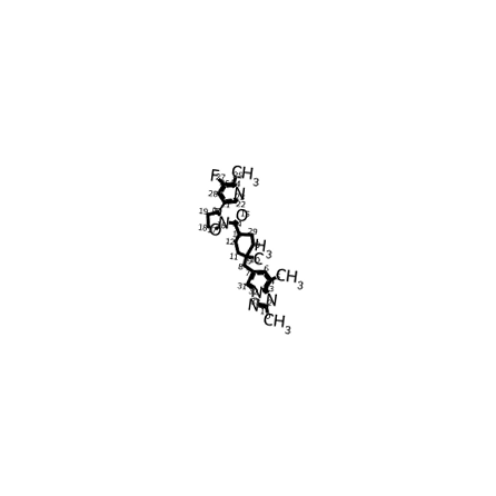 Cc1nc2c(C)cc(CC3(C)CCC(C(=O)N4OCC[C@H]4c4cnc(C)c(F)c4)CC3)cn2n1